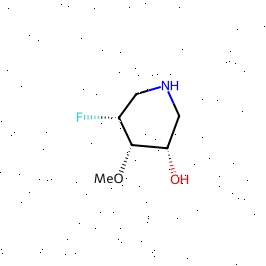 CO[C@@H]1[C@H](F)CNC[C@@H]1O